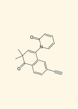 C#Cc1ccc2c(c1)C(n1ccccc1=O)=CC(C)(C)C2=O